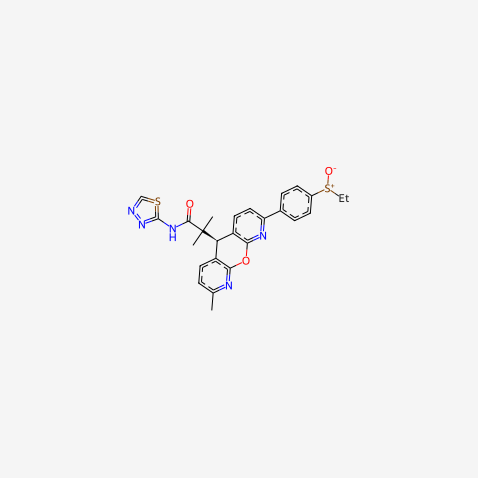 CC[S+]([O-])c1ccc(-c2ccc3c(n2)Oc2nc(C)ccc2[C@H]3C(C)(C)C(=O)Nc2nncs2)cc1